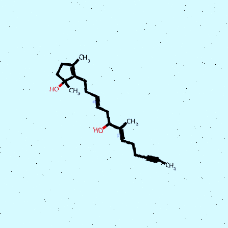 CC#CCC/C=C(\C)C(O)C/C=C/CCC1=C(C)CCC1(C)O